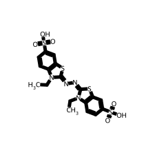 CCn1/c(=N/N=c2/sc3cc(S(=O)(=O)O)ccc3n2CC)sc2cc(S(=O)(=O)O)ccc21